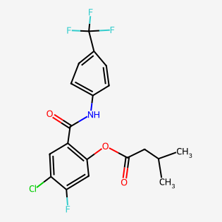 CC(C)CC(=O)Oc1cc(F)c(Cl)cc1C(=O)Nc1ccc(C(F)(F)F)cc1